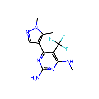 CNc1nc(N)nc(-c2cnn(C)c2C)c1C(F)(F)F